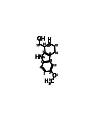 COc1ccc2[nH]c3c(c2c1)CCNC3CO